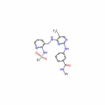 CCS(=O)(=O)Nc1ncccc1CNc1nc(Nc2cccc(C(=O)NC(C)C)c2)ncc1C(F)(F)F